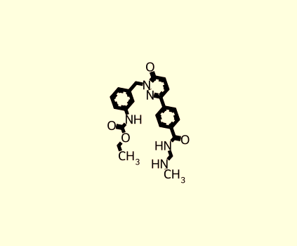 CCOC(=O)Nc1cccc(Cn2nc(-c3ccc(C(=O)NCNC)cc3)ccc2=O)c1